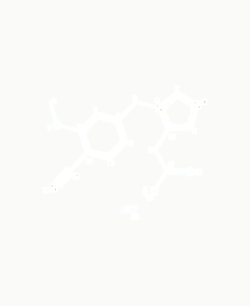 COc1cc(Cn2cncc2CC(=O)O)ccc1C#N.Cl